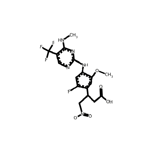 CNc1nc(Nc2cc(F)c(C(CC(=O)O)C[N+](=O)[O-])cc2OC)ncc1C(F)(F)F